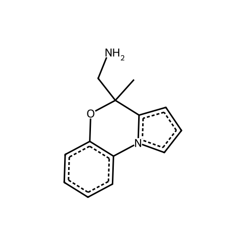 CC1(CN)Oc2ccccc2-n2cccc21